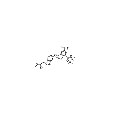 COC(=O)CC1COc2cc(O[C@@H]3CCc4c(B5OC(C)(C)C(C)(C)O5)cc(C(F)(F)F)cc43)ccc21